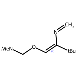 C=N/C(=C\OCNC)C(C)(C)C